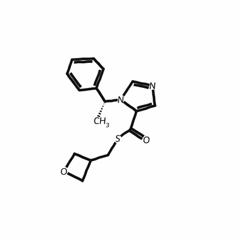 C[C@H](c1ccccc1)n1cncc1C(=O)SCC1COC1